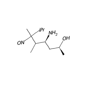 CC(C)C(C)(N=O)C(C)[C@@H](N)C[C@H](C)O